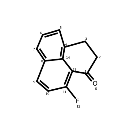 O=C1CCc2cccc3ccc(F)c1c23